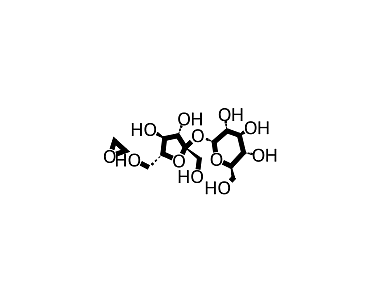 C1CO1.OC[C@H]1O[C@@](CO)(O[C@H]2O[C@H](CO)[C@@H](O)[C@H](O)[C@H]2O)[C@@H](O)[C@@H]1O